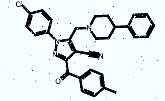 Cc1ccc(C(=O)c2nn(-c3ccc(Cl)cc3)c(CN3CCC(c4ccccc4)CC3)c2C#N)cc1